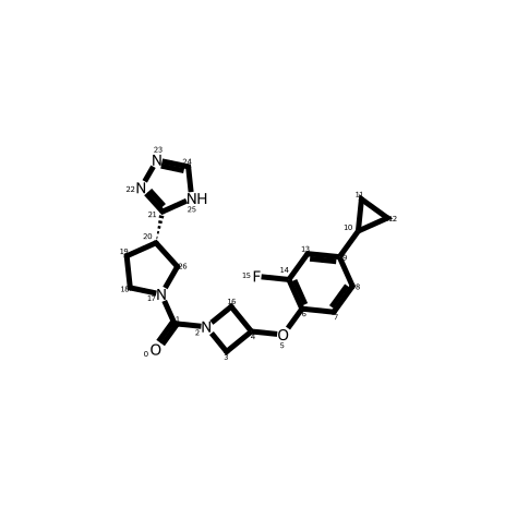 O=C(N1CC(Oc2ccc(C3CC3)cc2F)C1)N1CC[C@H](c2nnc[nH]2)C1